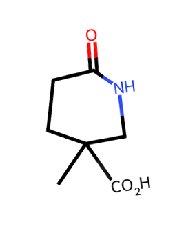 CC1(C(=O)O)CCC(=O)NC1